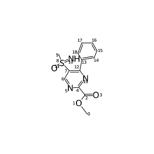 COC(=O)c1ncc(S(C)(=N)=O)c(-c2ccccc2)n1